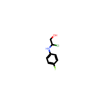 OCC(Cl)Nc1ccc(F)cc1